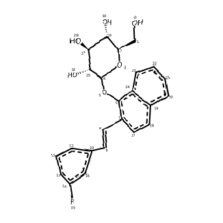 OC[C@H]1OC(Oc2c(/C=C/c3cccc(F)c3)ccc3ccccc23)[C@H](O)[C@@H](O)[C@@H]1O